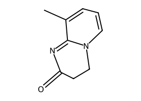 CC1=CC=CN2CCC(=O)N=C12